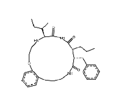 CCCN1C(=O)NC(=O)[C@H](C(C)CC)NCCOc2ccccc2CCCNC(=O)[C@H]1Cc1ccccc1